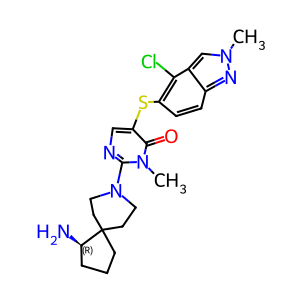 Cn1cc2c(Cl)c(Sc3cnc(N4CCC5(CCC[C@H]5N)CC4)n(C)c3=O)ccc2n1